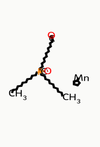 CCCCCCCCCCCCP(=C=O)(CCCCCCCCCCCC)CCCCCCCCCCCC=C=O.[Mn][C]1=CC=CC1